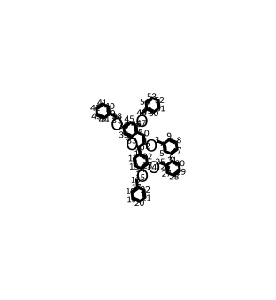 C1=C(OCc2ccccc2)C(c2ccc(OCc3ccccc3)c(OCc3ccccc3)c2)Oc2cc(OCc3ccccc3)cc(OCc3ccccc3)c21